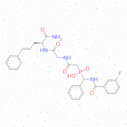 NC(=O)[C@H](C/C=C/c1ccccc1)NC(=O)CNC(=O)CP(=O)(O)C(NC(=O)c1cccc(F)c1)c1ccccc1